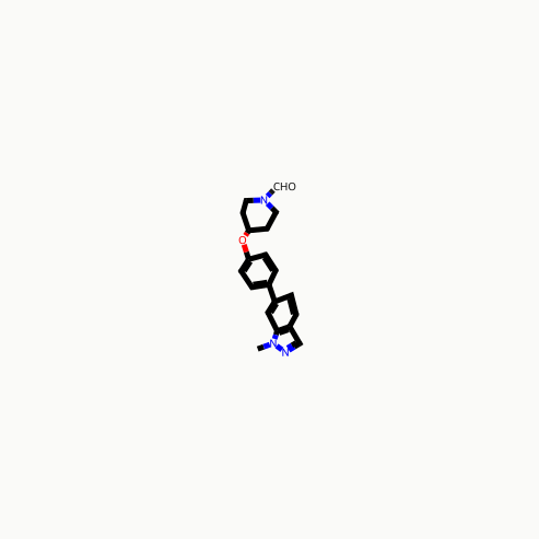 Cn1ncc2ccc(-c3ccc(OC4CCN(C=O)CC4)cc3)cc21